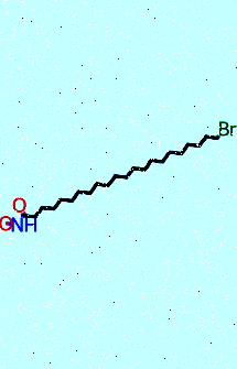 O=C(CCCCCCCCCCCCCCCCCCCCCBr)NO